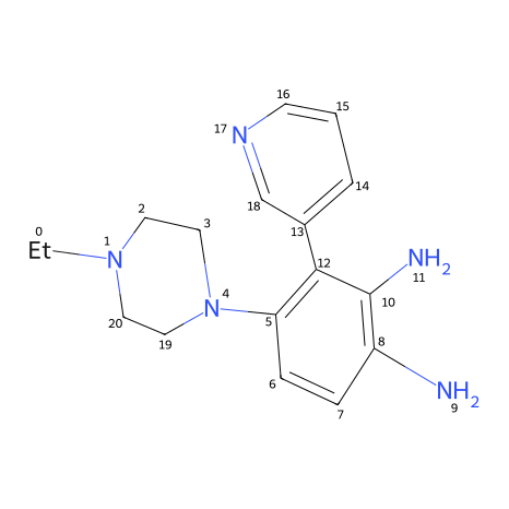 CCN1CCN(c2ccc(N)c(N)c2-c2cccnc2)CC1